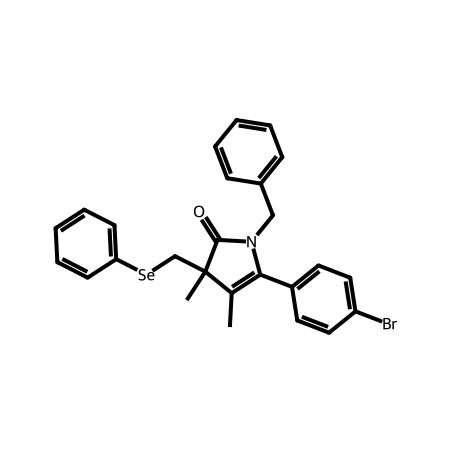 CC1=C(c2ccc(Br)cc2)N(Cc2ccccc2)C(=O)C1(C)C[Se]c1ccccc1